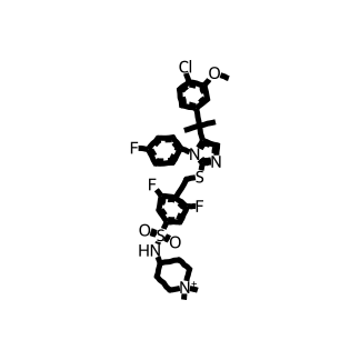 COc1cc(C(C)(C)c2cnc(SCc3c(F)cc(S(=O)(=O)NC4CC[N+](C)(C)CC4)cc3F)n2-c2ccc(F)cc2)ccc1Cl